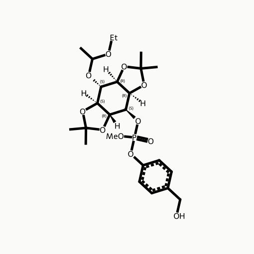 CCOC(C)O[C@@H]1[C@H]2OC(C)(C)O[C@H]2[C@@H](OP(=O)(OC)Oc2ccc(CO)cc2)[C@@H]2OC(C)(C)O[C@@H]12